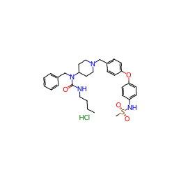 CCCCNC(=O)N(Cc1ccccc1)C1CCN(Cc2ccc(Oc3ccc(NS(C)(=O)=O)cc3)cc2)CC1.Cl